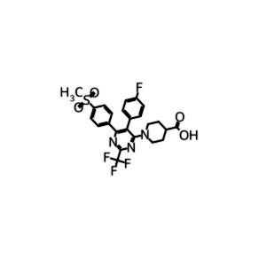 CS(=O)(=O)c1ccc(-c2nc(C(F)(F)F)nc(N3CCC(C(=O)O)CC3)c2-c2ccc(F)cc2)cc1